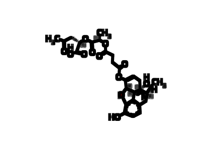 CC(=O)C[C@H](OC(=O)[C@H](C)OC(=O)CCC(=O)OC1=CC[C@@]2(O)[C@H]3Cc4ccc(O)c5c4[C@@]2(CCN3C)[C@H]1O5)C(=O)O